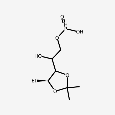 CC[C@@H]1OC(C)(C)OC1C(O)CO[PH](=O)O